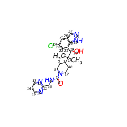 CC(C)(C1CCN(C(=O)NCc2ncccn2)CC1)[C@H](O)c1cc(Cl)cc2cn[nH]c12